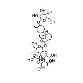 C=C1CC2CCC3[C@](C)(C(=O)OC4OC(CO)C(O)C(OC(OC(CO)C(C)O)C(O)O)C4OC(OC(CO)C(C)O)C(O)O)CCC[C@@]3(C)[C@@H]2CCC1OC1OC(CO)C(O)C(O)C1O